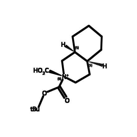 CC(C)(C)OC(=O)[N@@+]1(C(=O)O)CC[C@@H]2CCCC[C@@H]2C1